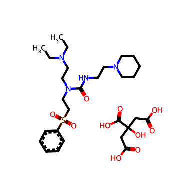 CCN(CC)CCN(CCS(=O)(=O)c1ccccc1)C(=O)NCCN1CCCCC1.O=C(O)CC(O)(CC(=O)O)C(=O)O